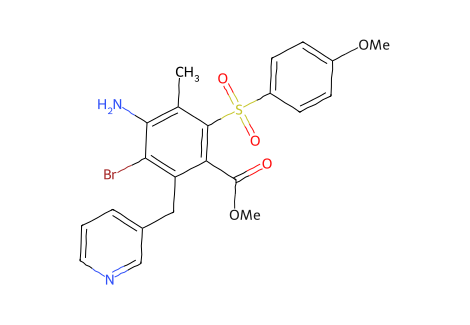 COC(=O)c1c(Cc2cccnc2)c(Br)c(N)c(C)c1S(=O)(=O)c1ccc(OC)cc1